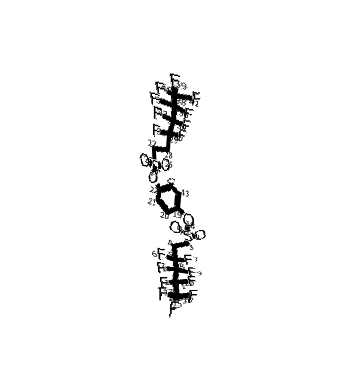 O=S(=O)(CCC(F)(F)C(F)(F)C(F)(F)C(F)(F)F)Oc1ccc(OS(=O)(=O)CCC(F)(F)C(F)(F)C(F)(F)C(F)(F)F)cc1